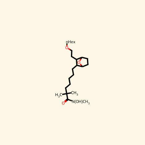 CCCCCCOCCC1C2CCC(O2)C1CCCCCC(C)(C)C(=O)N(C)O